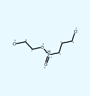 O=[PH](CCCCl)OCCCl